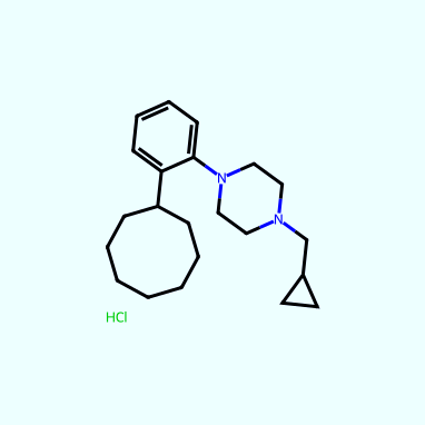 Cl.c1ccc(N2CCN(CC3CC3)CC2)c(C2CCCCCCC2)c1